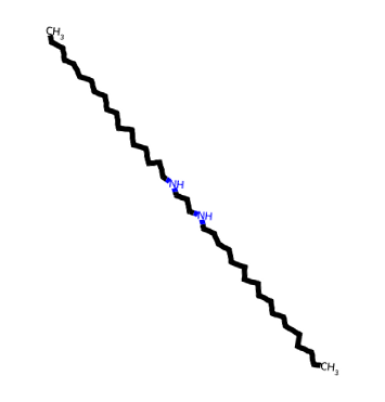 CCCCCCCCCCCCCCCCCCNCCCNCCCCCCCCCCCCCCCCCC